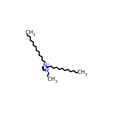 CCCCCCCCCCCCC[n+]1ccn(CCC)c1CCCCCCCCCCC